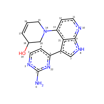 Nc1nccc(-c2c[nH]c3nccc(N4CC=CC(O)C4)c23)n1